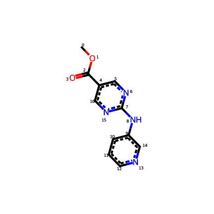 COC(=O)c1cnc(Nc2cccnc2)nc1